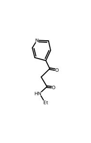 CCNC(=O)CC(=O)c1ccncc1